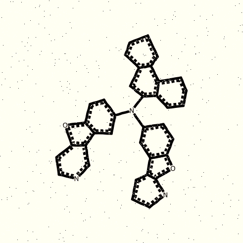 c1ccc2c(c1)cc(N(c1ccc3oc4ccncc4c3c1)c1ccc3oc4ncccc4c3c1)c1ccccc12